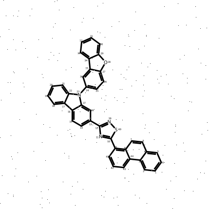 c1ccc2c(c1)ccc1c(-c3nc(-c4ccc5c6ccccc6n(-c6ccc7oc8ccccc8c7c6)c5c4)ns3)cccc12